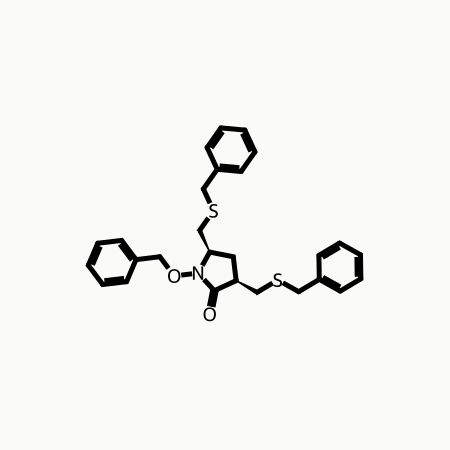 O=C1[C@H](CSCc2ccccc2)C[C@H](CSCc2ccccc2)N1OCc1ccccc1